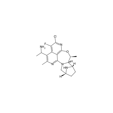 Cc1nc2c3c(nc(Cl)c(F)c3c1C(C)N)O[C@@H](C)[C@@H]1[C@@H]3CC[C@H](CN21)N3